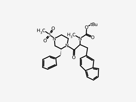 CN(C(=O)OC(C)(C)C)C(Cc1ccc2ccccc2c1)C(=O)N1CCN(S(C)(=O)=O)C[C@H]1Cc1ccccc1